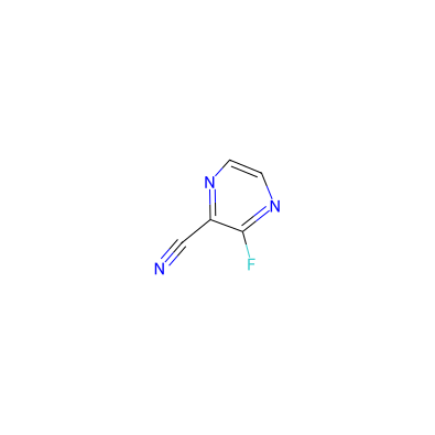 N#Cc1nccnc1F